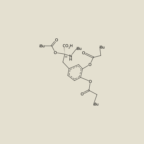 CCC(C)CC(=O)Oc1ccc(C[C@](NC(C)CC)(OC(=O)C(C)CC)C(=O)O)cc1OC(=O)CC(C)CC